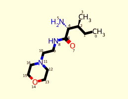 CC[C@H](C)[C@@H](N)C(=O)NCCN1CCOCC1